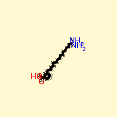 NC(N)CCCCCCCCCCCCCCCc1cccc(C(=O)O)c1